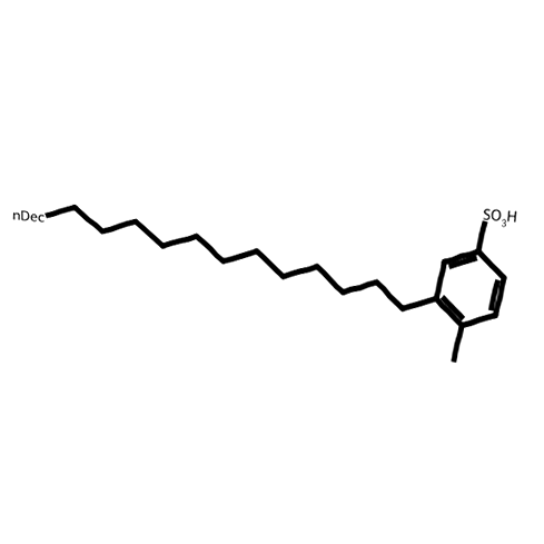 CCCCCCCCCCCCCCCCCCCCCCc1cc(S(=O)(=O)O)ccc1C